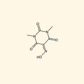 CN1C(=O)C(=NO)C(=O)N(C)C1=O